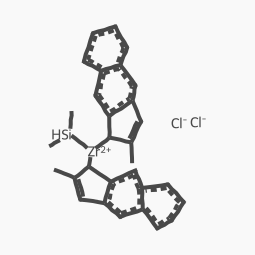 CC1=Cc2cc3ccccc3cc2[CH]1[Zr+2]([CH]1C(C)=Cc2cc3ccccc3cc21)[SiH](C)C.[Cl-].[Cl-]